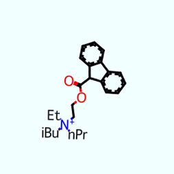 CCC[N+](CC)(CCOC(=O)C1c2ccccc2-c2ccccc21)C(C)CC